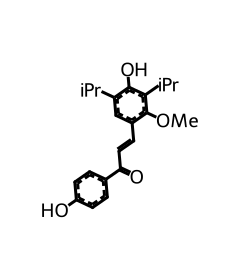 COc1c(C=CC(=O)c2ccc(O)cc2)cc(C(C)C)c(O)c1C(C)C